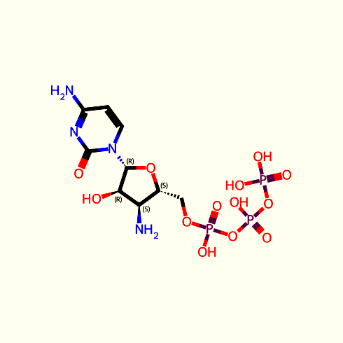 Nc1ccn([C@@H]2O[C@H](COP(=O)(O)OP(=O)(O)OP(=O)(O)O)[C@@H](N)[C@H]2O)c(=O)n1